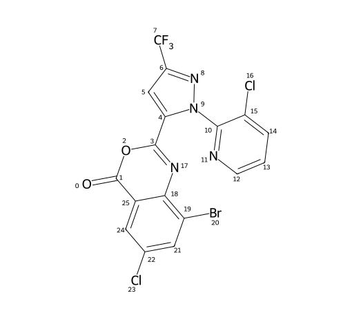 O=c1oc(-c2cc(C(F)(F)F)nn2-c2ncccc2Cl)nc2c(Br)cc(Cl)cc12